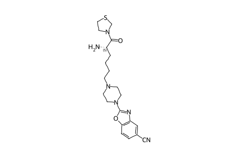 N#Cc1ccc2oc(N3CCN(CCCC[C@H](N)C(=O)N4CCSC4)CC3)nc2c1